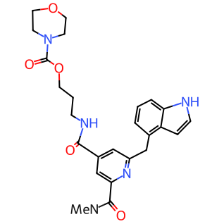 CNC(=O)c1cc(C(=O)NCCCOC(=O)N2CCOCC2)cc(Cc2cccc3[nH]ccc23)n1